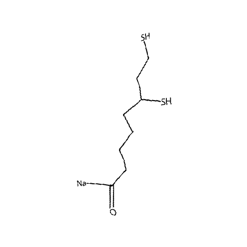 O=[C]([Na])CCCCC(S)CCS